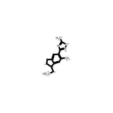 Cc1nc(-c2cc3c(cc2C)C(CC(=O)O)CC3)no1